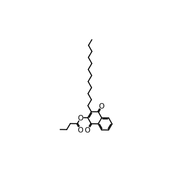 CCCCCCCCCCCCC1=C(OC(=O)CCC)C(=O)c2ccccc2C1=O